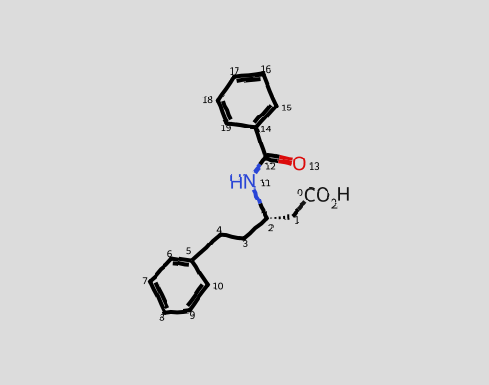 O=C(O)C[C@H](CCc1ccccc1)NC(=O)c1ccccc1